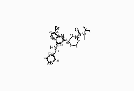 CC(C)NC(=O)N1CCCC(c2cc(NCc3cccnc3)n3ncc(Br)c3n2)C1